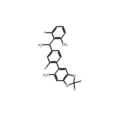 Cc1cc2c(cc1-c1ccc(C(N)c3c(C)cccc3F)cc1F)OC(F)(F)O2